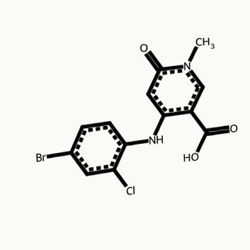 Cn1cc(C(=O)O)c(Nc2ccc(Br)cc2Cl)cc1=O